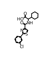 O=C(NC(C(=O)O)C1CCCCC1)c1csc(-c2cccc(Cl)c2)n1